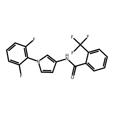 O=C(Nc1ccn(-c2c(F)cccc2F)c1)c1ccccc1C(F)(F)F